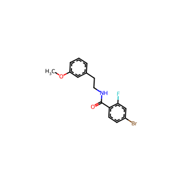 COc1cccc(CCNC(=O)c2ccc(Br)cc2F)c1